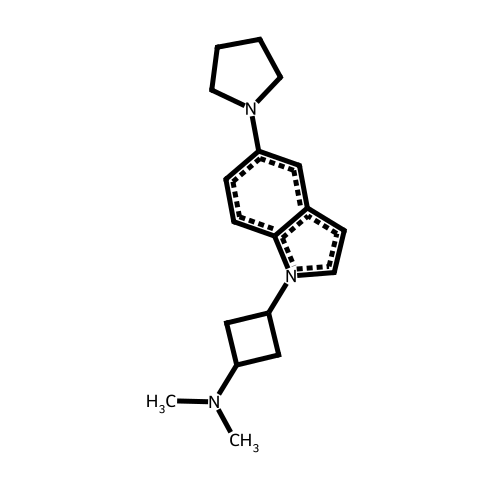 CN(C)C1CC(n2ccc3cc(N4CCCC4)ccc32)C1